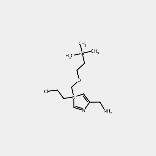 C[Si](C)(C)CCOC[N+]1(CCCl)C=NC(CN)=C1